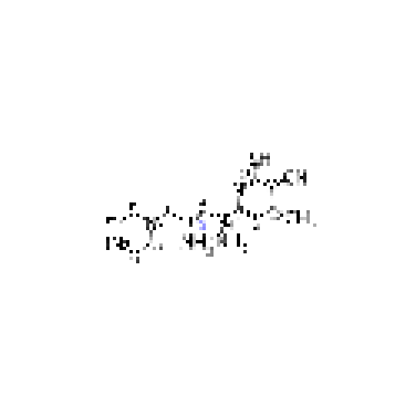 Cc1cc(N(N)/C=C(\N)CN2CCNCC2)nc(S)c1C#N